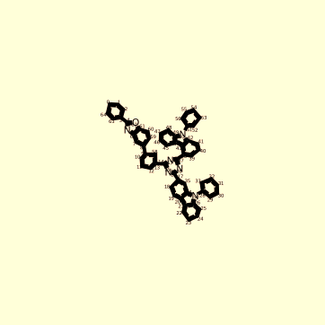 c1ccc(-c2nc3cc(-c4cccc(-c5nc(-c6ccc7c8ccccc8n(-c8ccccc8)c7c6)nc(-c6cccc7c6c6ccccc6n7-c6ccccc6)n5)c4)ccc3o2)cc1